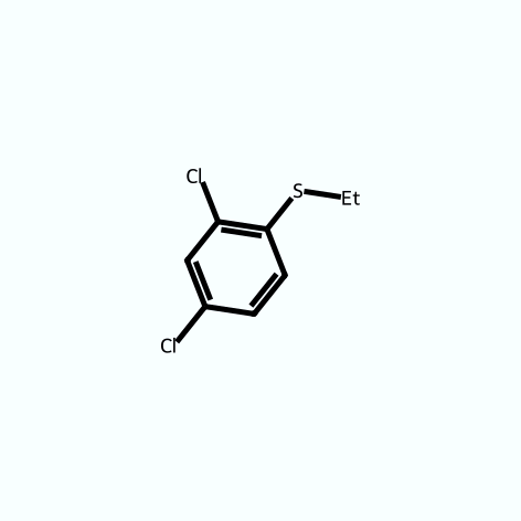 [CH2]CSc1ccc(Cl)cc1Cl